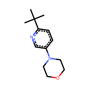 CC(C)(C)c1ccc(N2CCOCC2)cn1